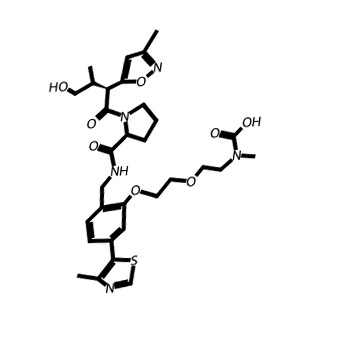 Cc1cc([C@@H](C(=O)N2CCCC2C(=O)NCc2ccc(-c3scnc3C)cc2OCCOCCN(C)C(=O)O)C(C)CO)on1